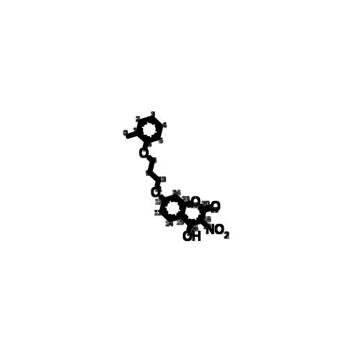 Cc1ccccc1OCCCOc1ccc2c(O)c([N+](=O)[O-])c(=O)oc2c1